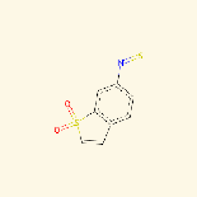 O=S1(=O)C=Cc2ccc(N=S)cc21